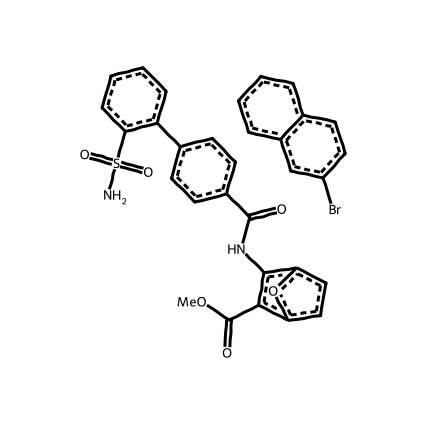 Brc1ccc2ccccc2c1.COC(=O)c1c(NC(=O)c2ccc(-c3ccccc3S(N)(=O)=O)cc2)c2ccc1o2